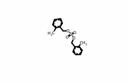 Cc1ccccc1COS(=O)(=O)OCc1ccccc1C